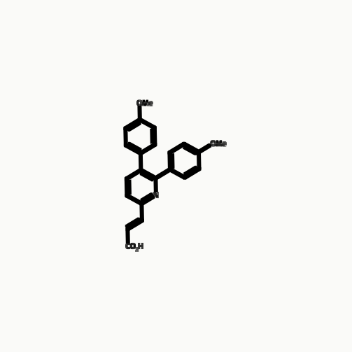 COc1ccc(-c2ccc(C=CC(=O)O)nc2-c2ccc(OC)cc2)cc1